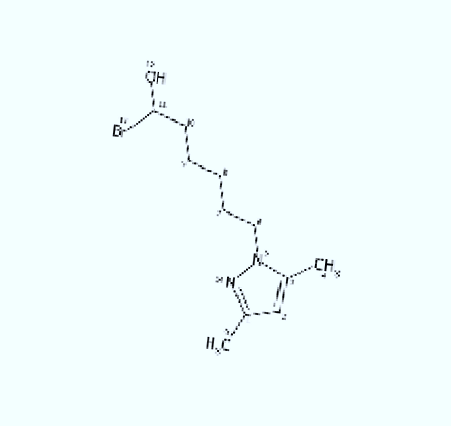 Cc1cc(C)n(CCCCCC(O)Br)n1